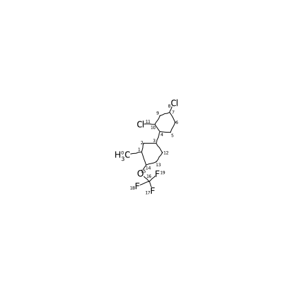 CC1CC(C2CCC(Cl)CC2Cl)CCC1OC(F)(F)F